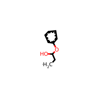 [CH2]CC(O)Oc1ccccc1